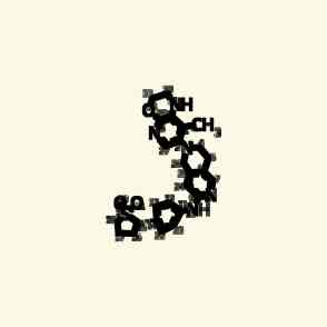 Cc1c(N2CCc3cnc(Nc4ccc([C@@H]5CCCS5(=O)=O)cc4)cc3C2)cnc2c1NCCO2